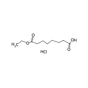 CCOC(=O)CCCCCCC(=O)O.Cl